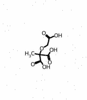 CC(OCC(=O)O)(C(=O)O)C(=O)O